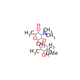 COC1(C)C[C@H](O[C@H]2C(N(C)C)C(O)[C@H](C)O[C@@H]2C)O[C@H](C)[C@@H]1O